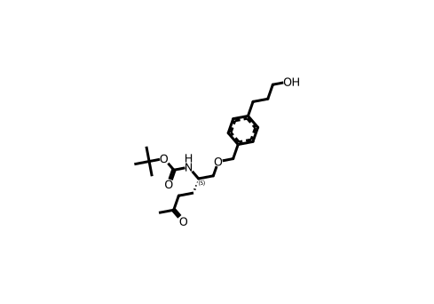 CC(=O)CC[C@@H](COCc1ccc(CCCO)cc1)NC(=O)OC(C)(C)C